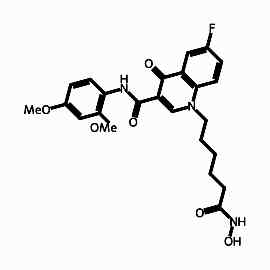 COc1ccc(NC(=O)c2cn(CCCCCC(=O)NO)c3ccc(F)cc3c2=O)c(OC)c1